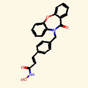 O=C(/C=C/c1ccc(CN2C(=O)c3ccccc3Oc3ccccc32)cc1)NO